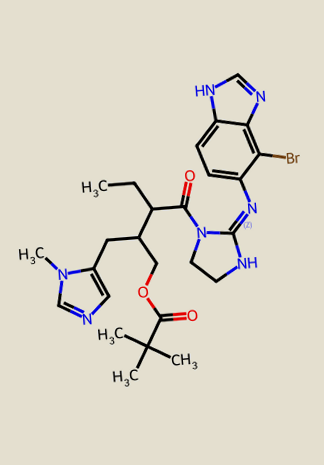 CCC(C(=O)N1CCN/C1=N/c1ccc2[nH]cnc2c1Br)C(COC(=O)C(C)(C)C)Cc1cncn1C